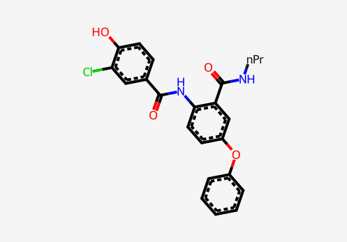 CCCNC(=O)c1cc(Oc2ccccc2)ccc1NC(=O)c1ccc(O)c(Cl)c1